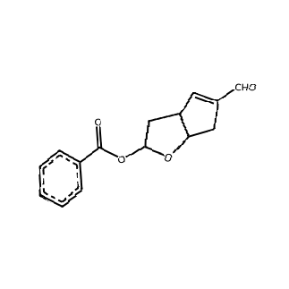 O=CC1=CC2CC(OC(=O)c3ccccc3)OC2C1